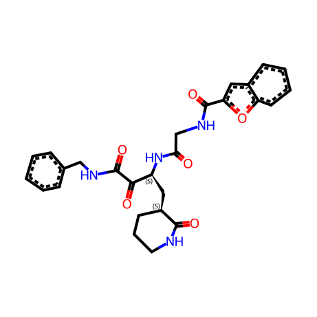 O=C(CNC(=O)c1cc2ccccc2o1)N[C@@H](C[C@@H]1CCCNC1=O)C(=O)C(=O)NCc1ccccc1